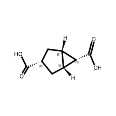 O=C(O)[C@H]1C[C@@H]2[C@H](C1)[C@@H]2C(=O)O